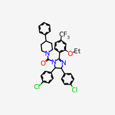 CCOc1cc(C(F)(F)F)ccc1C1=NC(c2ccc(Cl)cc2)C(c2ccc(Cl)cc2)N1C(=O)N1CCC(c2ccccc2)CC1